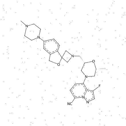 C[C@@H]1CN(c2ccc(C#N)n3ncc(F)c23)C[C@H](CN2CC3(C2)OCc2cc(N4CCN(C)CC4)ccc23)O1